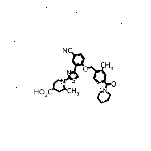 Cc1cc(C(=O)N2CCCCC2)ccc1COc1ccc(C#N)cc1-c1csc(N2CCC(C(=O)O)CC2C)n1